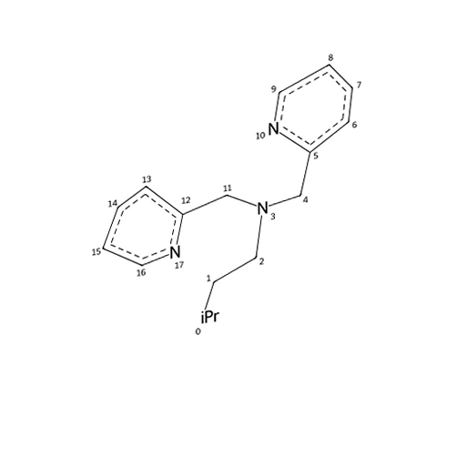 CC(C)CCN(Cc1ccccn1)Cc1ccccn1